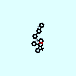 CC1(C)c2ccccc2-c2c(-c3ccccc3N(c3ccccc3)c3cccc(-c4ccc5c(c4)sc4ccccc45)c3)cccc21